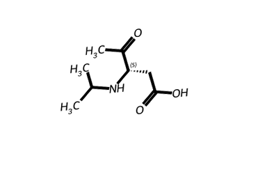 CC(=O)[C@H](CC(=O)O)NC(C)C